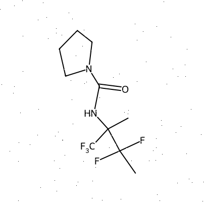 CC(F)(F)C(C)(NC(=O)N1CCCC1)C(F)(F)F